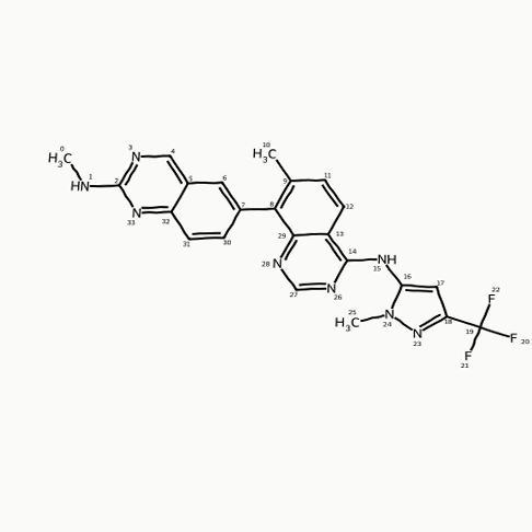 CNc1ncc2cc(-c3c(C)ccc4c(Nc5cc(C(F)(F)F)nn5C)ncnc34)ccc2n1